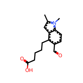 Cc1cc2c(CCCCC(=O)O)c(C=O)ccc2n1C